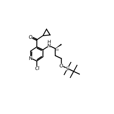 C[C@@H](CCO[Si](C)(C)C(C)(C)C)Nc1cc(Cl)ncc1C(=O)C1CC1